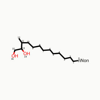 CCCCCCCCCCCCCCCCCCCC(C)C(O)CO